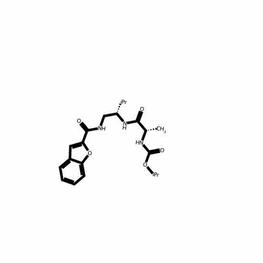 CC(C)OC(=O)N[C@@H](C)C(=O)N[C@H](CNC(=O)c1cc2ccccc2o1)C(C)C